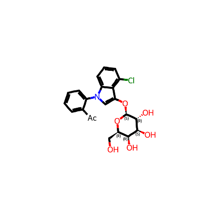 CC(=O)c1ccccc1-n1cc(O[C@@H]2O[C@H](CO)[C@H](O)[C@H](O)[C@H]2O)c2c(Cl)cccc21